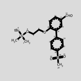 CC(C)(C)[Si](C)(C)OCCOc1ccc(C=O)cc1-c1ccc(S(C)(=O)=O)cc1